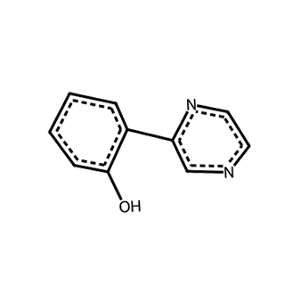 Oc1ccccc1-c1cnccn1